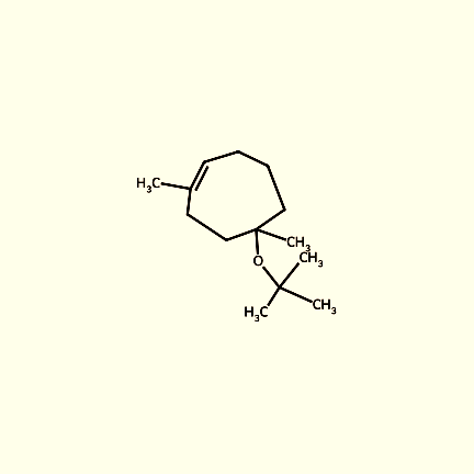 CC1=CCCCC(C)(OC(C)(C)C)CC1